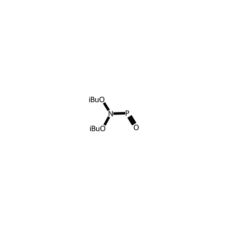 CC(C)CON(OCC(C)C)P=O